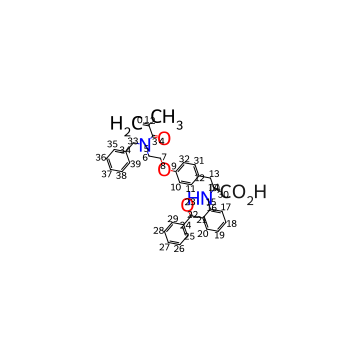 C=C(C)C(=O)N(CCOc1ccc(C[C@H](Nc2ccccc2C(=O)c2ccccc2)C(=O)O)cc1)Cc1ccccc1